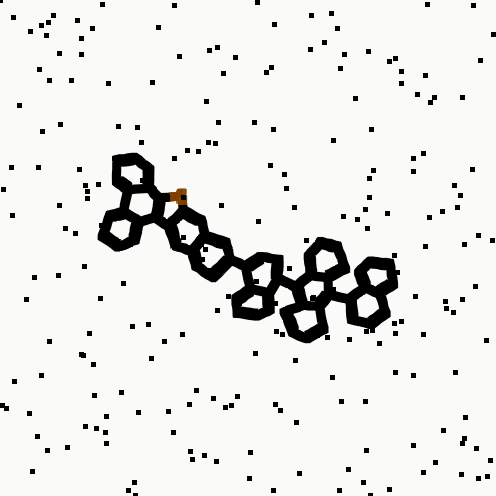 c1ccc2c(-c3c4ccccc4c(-c4ccc(-c5ccc6cc7c(cc6c5)sc5c6ccccc6c6ccccc6c75)c5ccccc45)c4ccccc34)cccc2c1